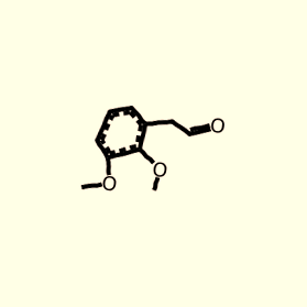 COc1cccc(CC=O)c1OC